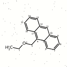 CCOCc1c2ccccc2cc2ccccc12